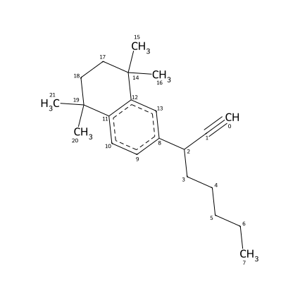 C#CC(CCCCC)c1ccc2c(c1)C(C)(C)CCC2(C)C